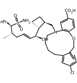 C=C1COc2ccc(C(=O)O)cc2N(C[C@@H]2CC[C@H]2[C@@H](O)/C=C/C[C@H](C)[C@@H](CCC)S(N)(=O)=O)CCCC/C1=C/C(Cl)=C\C